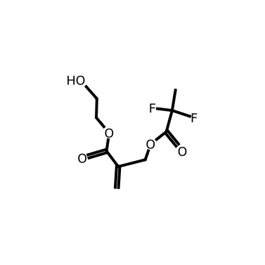 C=C(COC(=O)C(C)(F)F)C(=O)OCCO